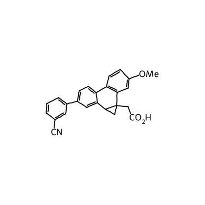 COc1ccc2c(c1)C1(CC(=O)O)CC1c1cc(-c3cccc(C#N)c3)ccc1-2